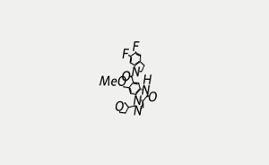 COCc1cc2c(cc1C(=O)N1CCc3cc(F)c(F)cc31)[nH]c(=O)c1cnc(C3CCOC3)n12